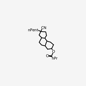 CCCCCC1(C#N)CCC2C(CCC3CC(OC(=O)CCC)CCC32)C1